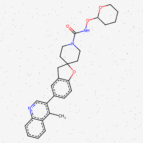 Cc1c(-c2ccc3c(c2)CC2(CCN(C(=O)NOC4CCCCO4)CC2)O3)cnc2ccccc12